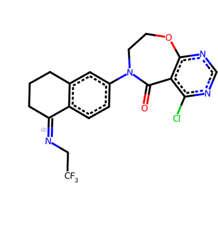 O=C1c2c(Cl)ncnc2OCCN1c1ccc2c(c1)CCC/C2=N/CC(F)(F)F